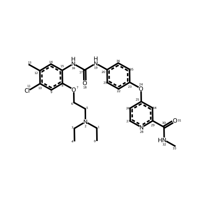 CCN(CC)CCOc1cc(Cl)c(C)cc1NC(=O)Nc1ccc(Oc2ccnc(C(=O)NC)c2)cc1